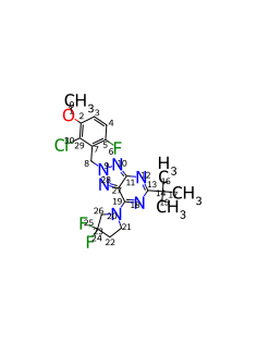 COc1ccc(F)c(Cn2nc3nc(C(C)(C)C)nc(N4CCC(F)(F)C4)c3n2)c1Cl